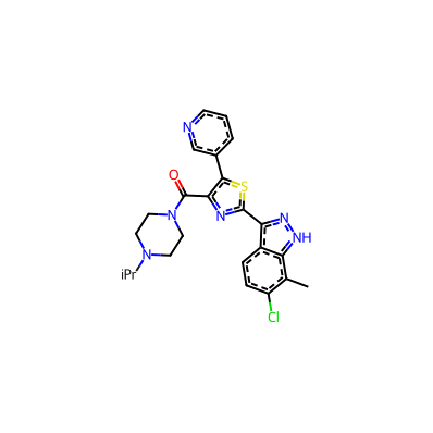 Cc1c(Cl)ccc2c(-c3nc(C(=O)N4CCN(C(C)C)CC4)c(-c4cccnc4)s3)n[nH]c12